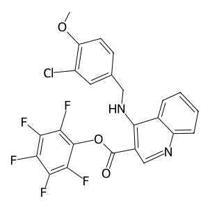 COc1ccc(CNc2c(C(=O)Oc3c(F)c(F)c(F)c(F)c3F)cnc3ccccc23)cc1Cl